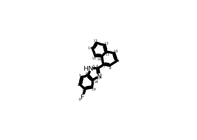 Fc1ccc2[nH]c(-c3cccc4ccccc34)nc2c1